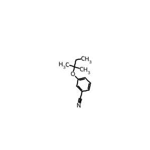 CCC(C)(C)Oc1cccc(C#N)c1